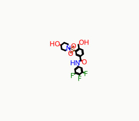 O=C(Nc1cc(F)c(F)c(F)c1)c1ccc(CO)c(S(=O)(=O)N2CCC(O)CC2)c1